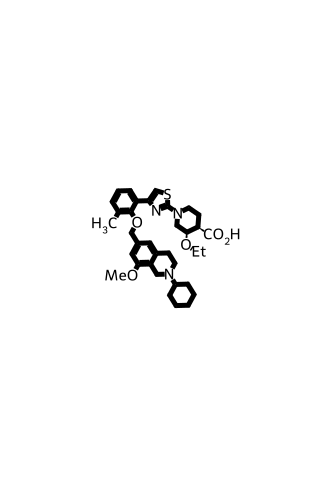 CCO[C@@H]1CN(c2nc(-c3cccc(C)c3OCc3cc4c(c(OC)c3)CN(C3CCCCC3)CC4)cs2)CC[C@@H]1C(=O)O